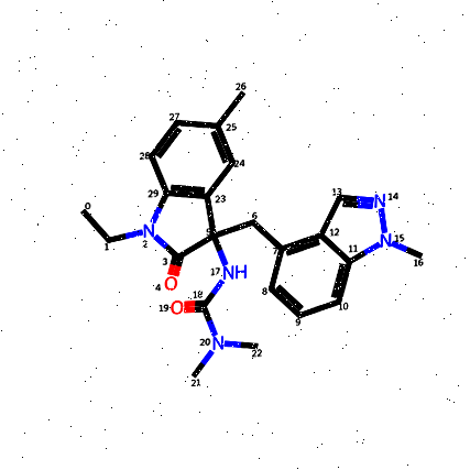 CCN1C(=O)C(Cc2cccc3c2cnn3C)(NC(=O)N(C)C)c2cc(C)ccc21